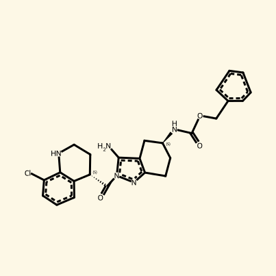 Nc1c2c(nn1C(=O)[C@H]1CCNc3c(Cl)cccc31)CC[C@H](NC(=O)OCc1ccccc1)C2